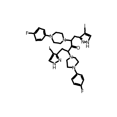 O=C(C(Cc1n[nH]cc1I)N1CCN(c2ccc(F)cc2)CC1)C(Cc1n[nH]cc1I)N1CCN(c2ccc(F)cc2)CC1